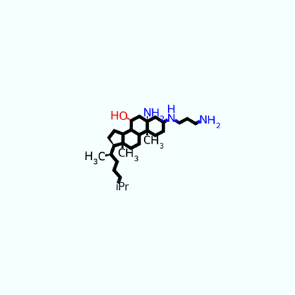 CC(C)CCC[C@@H](C)[C@H]1CCC2C3C(CC[C@@]21C)[C@@]1(C)CCC(NCCCN)C[C@]1(N)C[C@H]3O